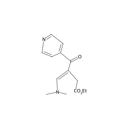 CCOC(=O)CC(=CN(C)C)C(=O)c1ccncc1